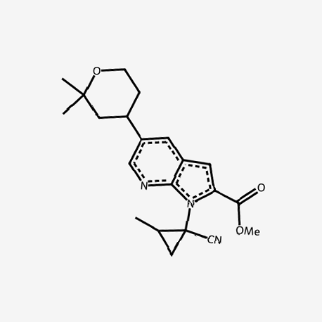 COC(=O)c1cc2cc(C3CCOC(C)(C)C3)cnc2n1C1(C#N)CC1C